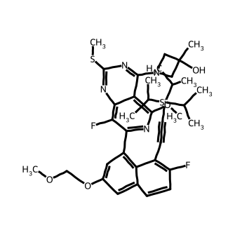 COCOc1cc(-c2nc(OC)c3c(N4CC(C)(O)C4)nc(SC)nc3c2F)c2c(C#C[Si](C(C)C)(C(C)C)C(C)C)c(F)ccc2c1